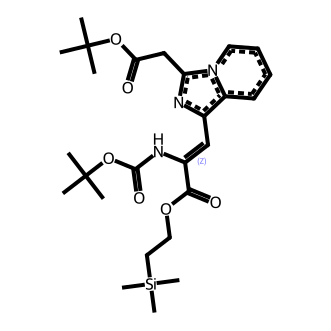 CC(C)(C)OC(=O)Cc1nc(/C=C(\NC(=O)OC(C)(C)C)C(=O)OCC[Si](C)(C)C)c2ccccn12